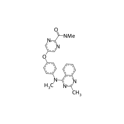 CNC(=O)c1ncc(Oc2ccc(N(C)c3nc(C)nc4ccccc34)cc2)cn1